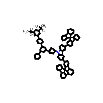 CCC(C)(C)c1cc(-c2ccc(-c3cc(-c4ccccc4)cc(-c4ccc(-n5c6ccc(-c7ccc8c(c7)C7(c9ccccc9-c9ccccc97)c7ccccc7-8)cc6c6cc(-c7ccc8c(c7)C7(c9ccccc9-c9ccccc97)c7ccccc7-8)ccc65)cc4)c3)cc2)cc(C(C)(C)CC)c1